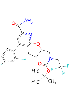 CC(C)(C)OC(=O)N(CC1CCc2c(-c3ccc(F)cc3F)cc(C(N)=O)nc2O1)CC(F)(F)F